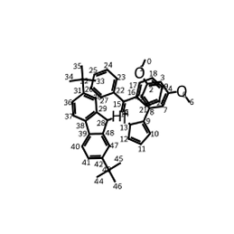 COc1cc(OC)cc(C2=CC=C[CH]2[Hf](=[C](c2ccccc2)c2ccccc2)[CH]2c3cc(C(C)(C)C)ccc3-c3ccc(C(C)(C)C)cc32)c1